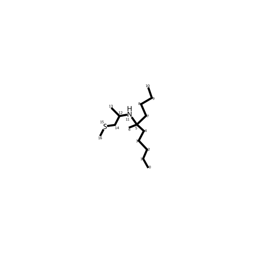 CCCCCC(C)(CCCC)NC(C)CSC